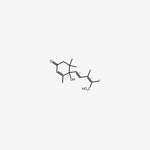 CC1=CC(=O)CC(C)(C)C1(O)/C=C/C(C)=C(/F)C(=O)O